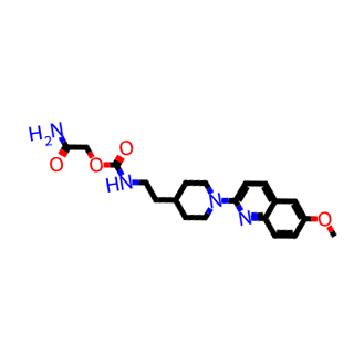 COc1ccc2nc(N3CCC(CCNC(=O)OCC(N)=O)CC3)ccc2c1